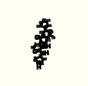 C=Cc1c(C(=O)NC2CCNCC2)[nH]c2cc(CC)n(CC(=O)c3ccccc3)c(=O)c12